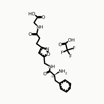 N[C@@H](Cc1ccccc1)C(=O)NCc1cc(CCC(=O)NCC(=O)O)no1.O=C(O)C(F)(F)F